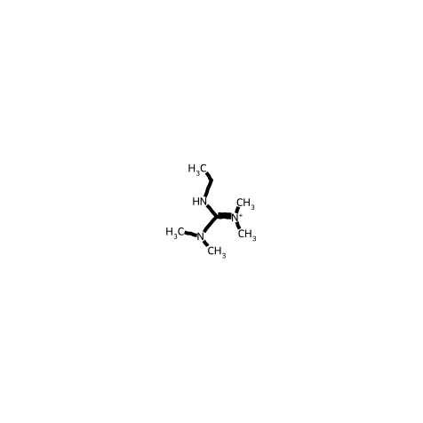 CCNC(N(C)C)=[N+](C)C